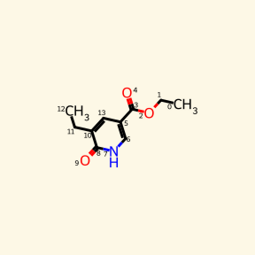 CCOC(=O)c1c[nH]c(=O)c(CC)c1